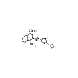 Nc1c(/N=N/c2ccc(-c3cccs3)nc2)cc(S(=O)(=O)O)c2ccccc12